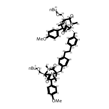 CCCCOC[C@@]12SC(c3ccc(OC)cc3)S[C@@](Cc3ccc(CCc4ccc(C[C@@]56SC(c7ccc(OC)cc7)S[C@@](COCCCC)(C(=O)N5C)N(C)C6=O)cc4)cc3)(C(=O)N1C)N(C)C2=O